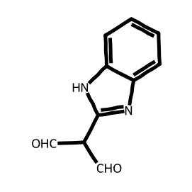 O=CC(C=O)c1nc2ccccc2[nH]1